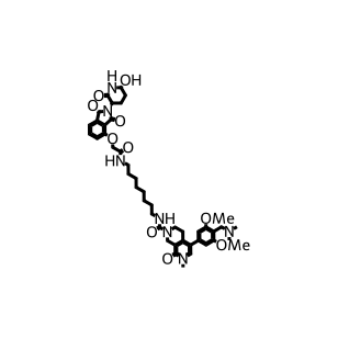 COc1cc(-c2cn(C)c(=O)c3c2CCN(C(=O)NCCCCCCCCNC(=O)COc2cccc4c2C(=O)N(C2CCC(O)NC2=O)C4=O)C3)cc(OC)c1CN(C)C